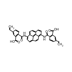 C=Cc1ccc(C(=O)Nc2ccc3ccc4c(NC(=O)c5ccc(C=C)cc5C(=O)O)ccc5ccc2c3c54)c(C(=O)O)c1